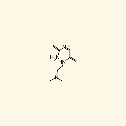 C=C(N)/N=C\C(=C)NCCN(C)C